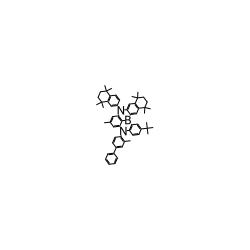 Cc1cc2c3c(c1)N(c1ccc(-c4ccccc4)cc1C)c1ccc(C(C)(C)C)cc1B3c1cc3c(cc1N2c1ccc2c(c1)C(C)(C)CCC2(C)C)C(C)(C)CCC3(C)C